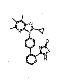 Cc1nc2c(nc(C3CC3)n2-c2ccc(-c3ccccc3-c3nc(=O)s[nH]3)cc2)c(C)c1C